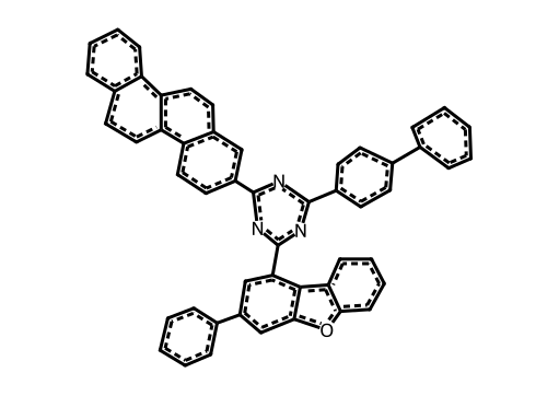 c1ccc(-c2ccc(-c3nc(-c4ccc5c(ccc6c7ccccc7ccc56)c4)nc(-c4cc(-c5ccccc5)cc5oc6ccccc6c45)n3)cc2)cc1